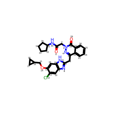 O=C(Cn1nc(Cc2nc3cc(Cl)c(OCC4CC4)cc3[nH]2)c2ccccc2c1=O)NC1CCCC1